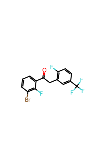 O=C(Cc1cc(C(F)(F)F)ccc1F)c1cccc(Br)c1F